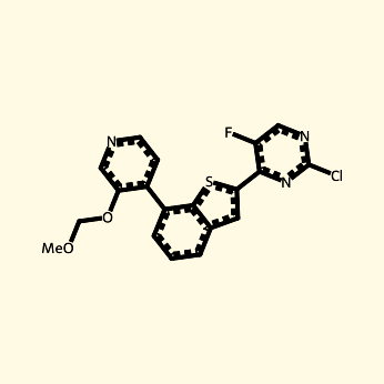 COCOc1cnccc1-c1cccc2cc(-c3nc(Cl)ncc3F)sc12